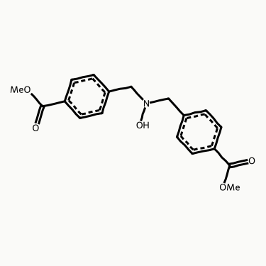 COC(=O)c1ccc(CN(O)Cc2ccc(C(=O)OC)cc2)cc1